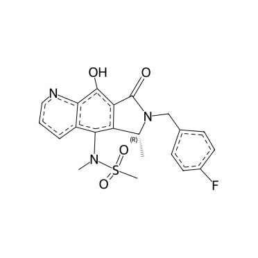 C[C@@H]1c2c(c(O)c3ncccc3c2N(C)S(C)(=O)=O)C(=O)N1Cc1ccc(F)cc1